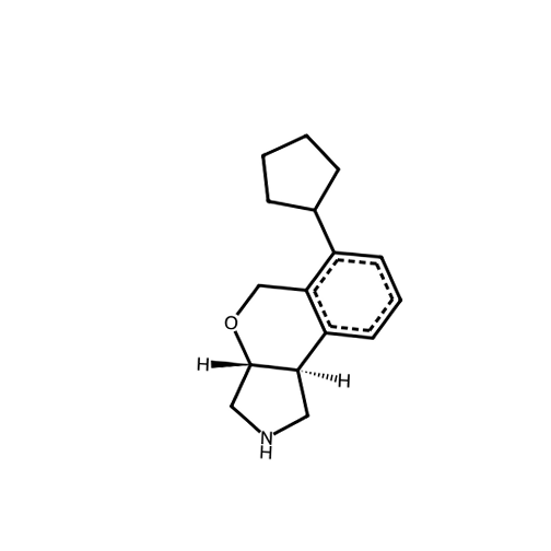 c1cc(C2CCCC2)c2c(c1)[C@H]1CNC[C@@H]1OC2